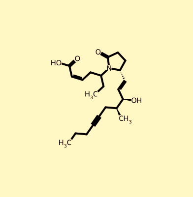 CCCC#CC[C@H](C)[C@H](O)/C=C/[C@H]1CCC(=O)N1C(CC)C/C=C\C(=O)O